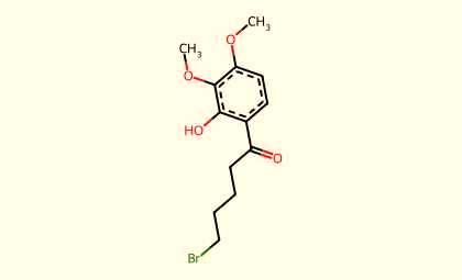 COc1ccc(C(=O)CCCCBr)c(O)c1OC